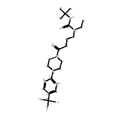 CCN(CCCC(=O)N1CCN(c2ncc(C(F)(F)F)cn2)CC1)C(=O)OC(C)(C)C